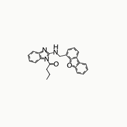 CCCC(=O)n1c(NCc2cccc3c2oc2ccccc23)nc2ccccc21